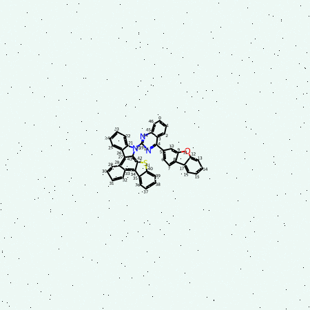 c1ccc2c(-c3ccc4c(c3)oc3ccccc34)nc(-n3c4ccccc4c4c5ccccc5c5c6ccccc6sc5c43)nc2c1